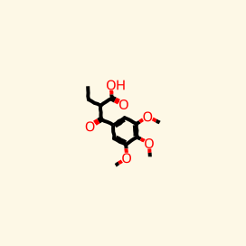 CCC(C(=O)O)C(=O)c1cc(OC)c(OC)c(OC)c1